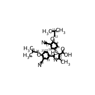 CC1=C(C(=O)O)[SH](c2ccc(OCC(C)C)c(C#N)c2)C(c2ccc(OCC(C)C)c(C#N)c2)=N1